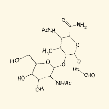 CC(=O)NC1C(C(N)=O)OC(ONC=O)C(OC2OC(CO)C(O)C(O)C2NC(C)=O)C1C